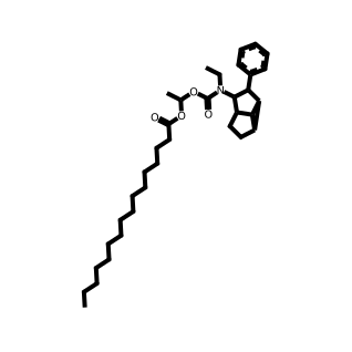 CCCCCCCCCCCCCCCC(=O)OC(C)OC(=O)N(CC)C1C2CCC3C2C3C1c1ccccc1